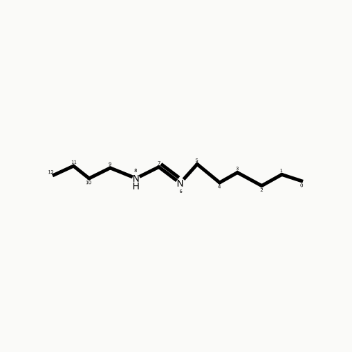 CCCCCC/N=C/NCCCC